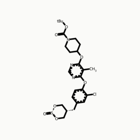 Cc1c(Oc2ccc(C[C@H]3CO[S@@](=O)OC3)cc2Cl)ncnc1OC1CCN(C(=O)OC(C)(C)C)CC1